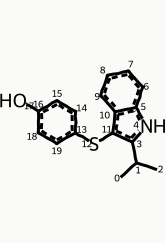 CC(C)c1[nH]c2ccccc2c1Sc1ccc(O)cc1